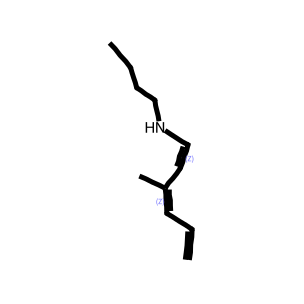 C=C/C=C(C)\C=C/NCCCC